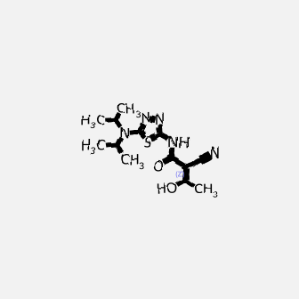 C/C(O)=C(\C#N)C(=O)Nc1nnc(N(C(C)C)C(C)C)s1